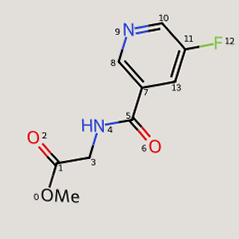 COC(=O)CNC(=O)c1cncc(F)c1